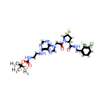 CC(C)(C)OC(=O)NCCNc1ncnc2c1ncn2CC(=O)N1C[C@H](F)C[C@H]1C(=O)NCc1cccc(Cl)c1F